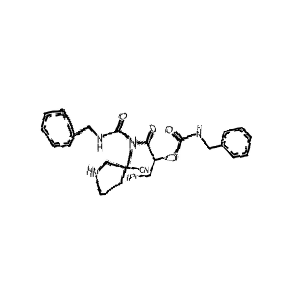 CC(C)CC(OC(=O)NCc1ccccc1)C(=O)N(C(=O)NCc1ccccc1)C1(C#N)CCNC1